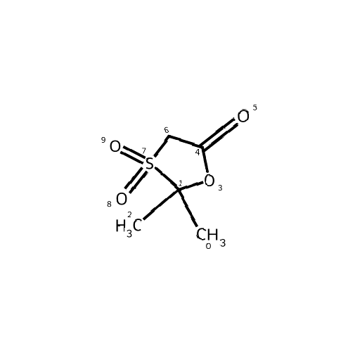 CC1(C)OC(=O)CS1(=O)=O